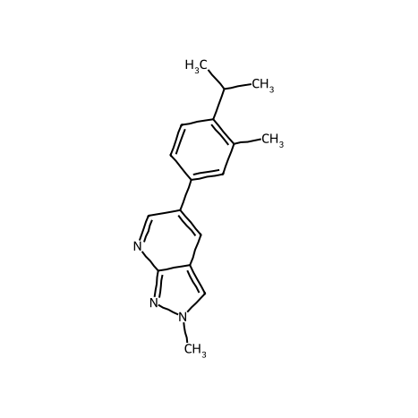 Cc1cc(-c2cnc3nn(C)cc3c2)ccc1C(C)C